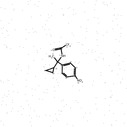 CC(NC(=O)C(F)(F)F)(c1ccc([N+](=O)[O-])cc1)C1CC1